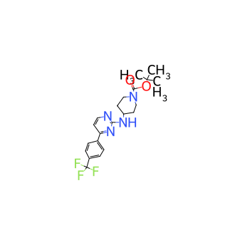 CC(C)(C)OC(=O)N1CCC(Nc2nccc(-c3ccc(C(F)(F)F)cc3)n2)CC1